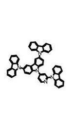 c1ccc2c(c1)c1ccccc1n2-c1ccc2c(c1)c1cc(-n3c4ccccc4c4ccccc43)ccc1n2-c1ccnc(-n2c3ccccc3c3ccccc32)c1